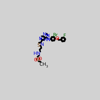 CCCS(=O)(=O)CCNCCCc1nc(-c2cc3c(Nc4ccc(OCc5cccc(F)c5)c(Br)c4)ncnc3cn2)cs1